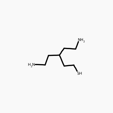 NCCC(CCN)CCS